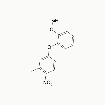 Cc1cc(Oc2ccccc2O[SiH3])ccc1[N+](=O)[O-]